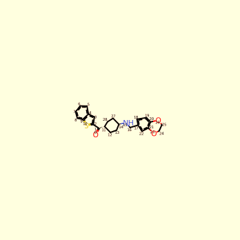 O=C(c1cc2ccccc2s1)[C@H]1CC[C@H](NCc2ccc3c(c2)OCCO3)CC1